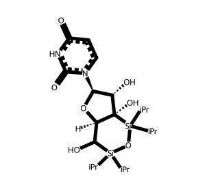 CC(C)[Si]1(C(C)C)O[Si](C(C)C)(C(C)C)[C@@]2(O)[C@H](O[C@@H](n3ccc(=O)[nH]c3=O)[C@@H]2O)C1O